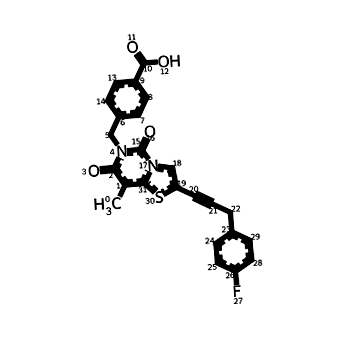 Cc1c(=O)n(Cc2ccc(C(=O)O)cc2)c(=O)n2cc(C#CCc3ccc(F)cc3)sc12